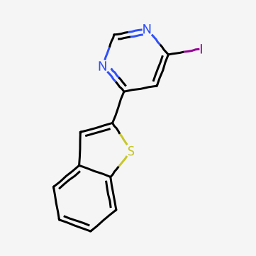 Ic1cc(-c2cc3ccccc3s2)ncn1